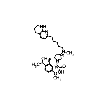 COc1ccc(C(C)C)c(F)c1[C@@H](C(=O)O)N1CC[C@@H](N(C)CCCCCc2ccc3c(n2)NCCC3)C1